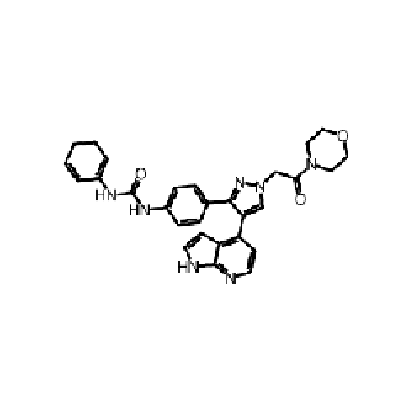 O=C(NC1=CCCC=C1)Nc1ccc(-c2nn(CC(=O)N3CCOCC3)cc2-c2ccnc3[nH]ccc23)cc1